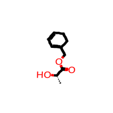 C[C@H](O)C(=O)OCC1=CC=CCC1